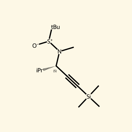 CC(C)[C@@H](C#C[Si](C)(C)C)N(C)[S+]([O-])C(C)(C)C